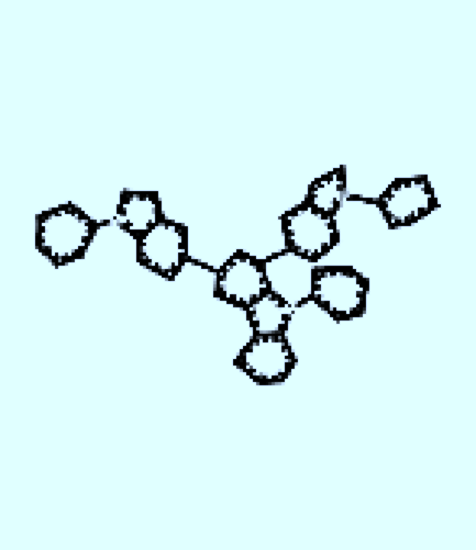 c1ccc(-n2ccc3cc(-c4cc(-c5ccc6c(ccn6-c6ccccc6)c5)c5c(c4)c4ccccc4n5-c4ccccc4)ccc32)cc1